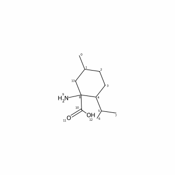 CC1CCC(C(C)C)C(N)(C(=O)O)C1